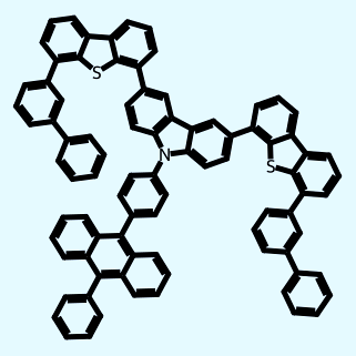 c1ccc(-c2cccc(-c3cccc4c3sc3c(-c5ccc6c(c5)c5cc(-c7cccc8c7sc7c(-c9cccc(-c%10ccccc%10)c9)cccc78)ccc5n6-c5ccc(-c6c7ccccc7c(-c7ccccc7)c7ccccc67)cc5)cccc34)c2)cc1